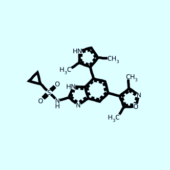 Cc1c[nH]c(C)c1-c1cc(-c2c(C)noc2C)cc2nc(NS(=O)(=O)C3CC3)[nH]c12